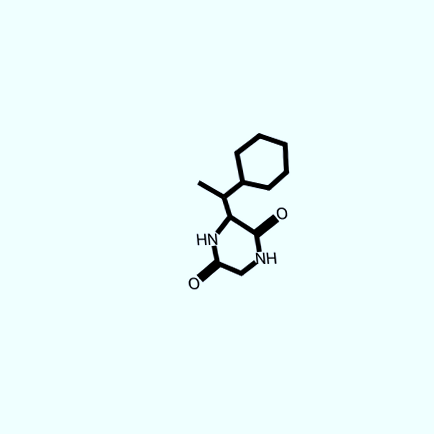 CC(C1CCCCC1)C1NC(=O)CNC1=O